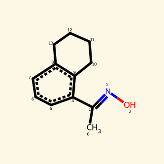 CC(=NO)c1cccc2c1CCCC2